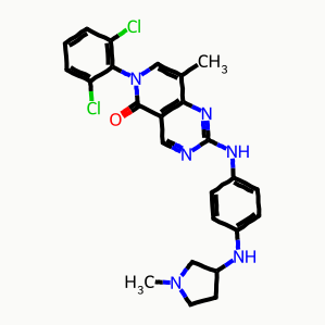 Cc1cn(-c2c(Cl)cccc2Cl)c(=O)c2cnc(Nc3ccc(NC4CCN(C)C4)cc3)nc12